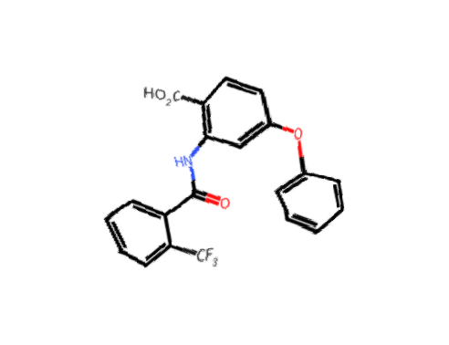 O=C(O)c1ccc(Oc2ccccc2)cc1NC(=O)c1ccccc1C(F)(F)F